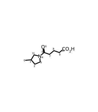 CC1CCN(C(=O)CCCC(=O)O)C1